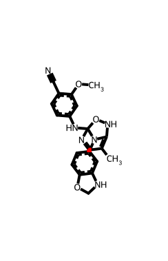 COc1cc(NC23N=CC(C)=C(NO2)N3c2ccc3c(c2)NCO3)ccc1C#N